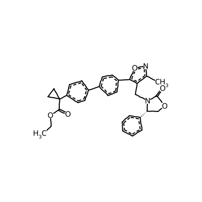 CCOC(=O)C1(c2ccc(-c3ccc(-c4onc(C)c4CN4C(=O)OC[C@@H]4c4ccccc4)cc3)cc2)CC1